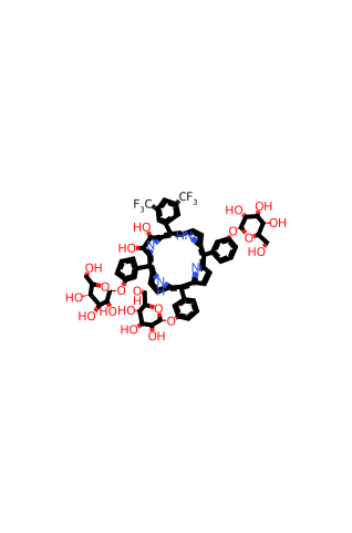 OCC1O[C@H](Oc2cccc(-c3c4nc(c(-c5cccc(O[C@H]6OC(CO)[C@@H](O)C(O)C6O)c5)c5ccc([nH]5)c(-c5cc(C(F)(F)F)cc(C(F)(F)F)c5)c5nc(c(-c6cccc(O[C@H]7OC(CO)[C@@H](O)C(O)C7O)c6)c6ccc3[nH]6)C(O)C5O)C=C4)c2)C(O)C(O)[C@@H]1O